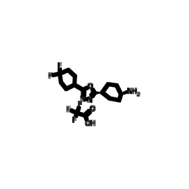 N[C@H]1CC[C@H](c2nnc(C3CCC(F)(F)CC3)o2)CC1.O=C(O)C(F)(F)F